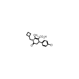 CC1=C(C(=O)O)C(c2ccc(Cl)cc2)CC(=O)N1CC1CCC1